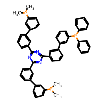 CP(C)c1cccc(-c2cccc(-c3nc(-c4cccc(-c5cccc(P(C)C)c5)c4)nc(-c4cccc(-c5cccc(P(c6ccccc6)c6ccccc6)c5)c4)n3)c2)c1